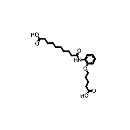 O=C(O)CCCCCCCCC(=O)Nc1ccccc1OCCCCC(=O)O